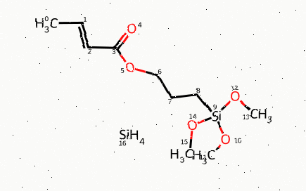 CC=CC(=O)OCCC[Si](OC)(OC)OC.[SiH4]